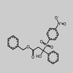 O=C(CC(O)(c1ccccc1)S(=O)(=O)c1ccc([N+](=O)[O-])cc1)OCc1ccccc1